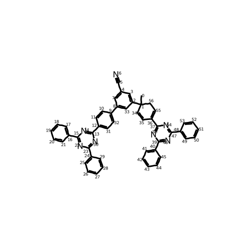 CC1(c2cc(C#N)cc(-c3ccc(-c4nc(-c5ccccc5)nc(-c5ccccc5)n4)cc3)c2)C=CC(c2nc(-c3ccccc3)nc(-c3ccccc3)n2)=CC1